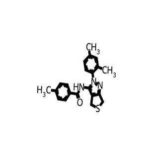 Cc1ccc(C(=O)Nc2c3c(nn2-c2ccc(C)cc2C)CSC3)cc1